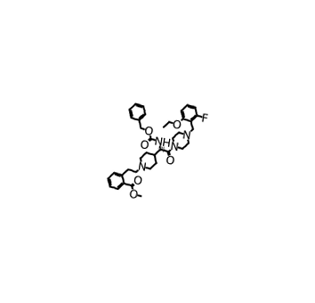 CCOc1cccc(F)c1CN1CCN(C(=O)[C@H](NC(=O)OCc2ccccc2)C2CCN(CCc3ccccc3C(=O)OC)CC2)CC1